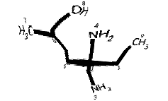 CCC(N)(N)CC(C)O